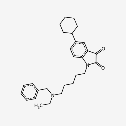 CCN(CCCCCN1C(=O)C(=O)c2cc(C3CCCCC3)ccc21)Cc1ccccc1